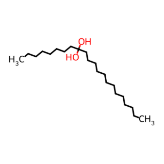 CCCCCCCCCCCCCC(O)(O)CCCCCCCC